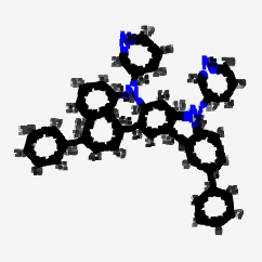 c1ccc(-c2ccc3c(c2)c2cc4c(cc2n3-c2cccnc2)N(c2cccnc2)c2cccc3c(-c5ccccc5)ccc-4c23)cc1